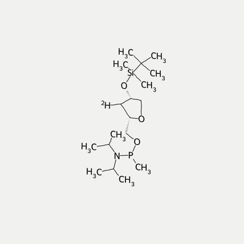 [2H]C1[C@@H](COP(C)N(C(C)C)C(C)C)OC[C@H]1O[Si](C)(C)C(C)(C)C